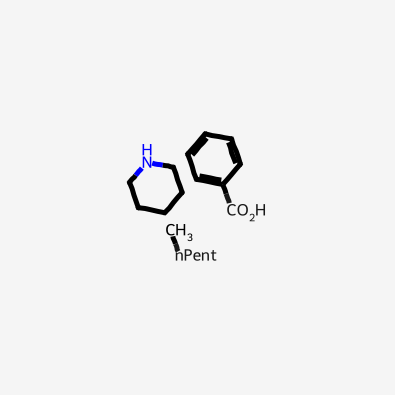 C1CCNCC1.CCCCCC.O=C(O)c1ccccc1